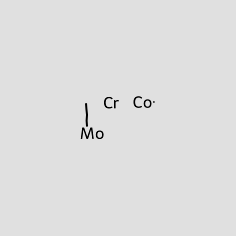 [CH3][Mo].[Co].[Cr]